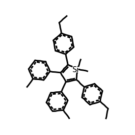 CCc1ccc(C2=C(c3cccc(C)c3)C(c3cccc(C)c3)=C(c3ccc(CC)cc3)[Si]2(C)C)cc1